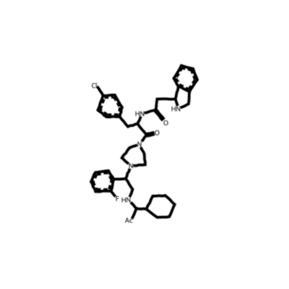 CC(=O)C(NCC(c1ccccc1F)N1CCN(C(=O)C(Cc2ccc(Cl)cc2)NC(=O)CC2NCc3ccccc32)CC1)C1CCCCC1